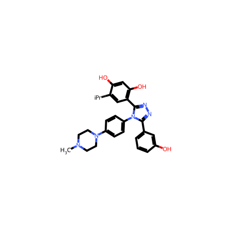 CC(C)c1cc(-c2nnc(-c3cccc(O)c3)n2-c2ccc(N3CCN(C)CC3)cc2)c(O)cc1O